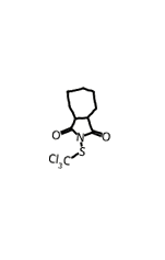 O=C1C2CCCCCC2C(=O)N1SC(Cl)(Cl)Cl